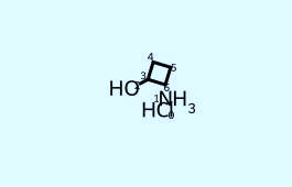 Cl.N.OC1CCC1